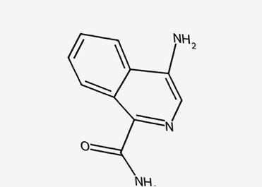 NC(=O)c1ncc(N)c2ccccc12